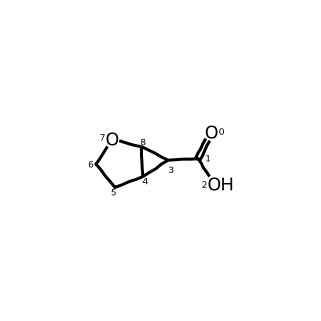 O=C(O)C1C2CCOC21